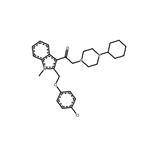 Cn1c(COc2ccc(Cl)cc2)c(C(=O)CN2CCN(C3CCCCC3)CC2)c2ccccc21